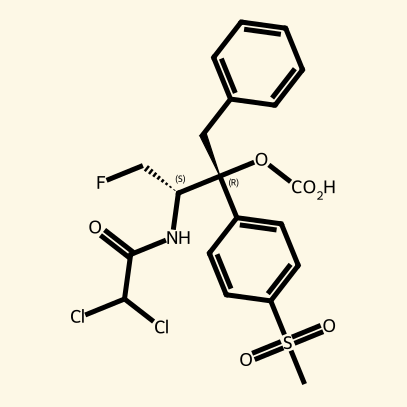 CS(=O)(=O)c1ccc([C@@](Cc2ccccc2)(OC(=O)O)[C@@H](CF)NC(=O)C(Cl)Cl)cc1